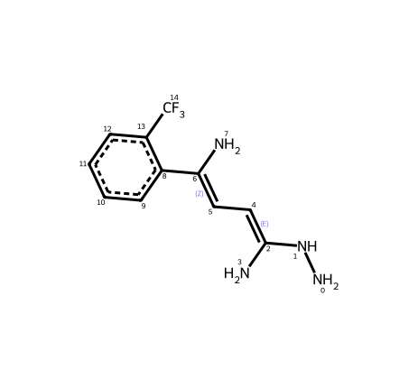 NN/C(N)=C/C=C(\N)c1ccccc1C(F)(F)F